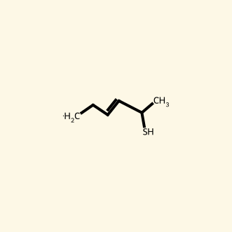 [CH2]CC=CC(C)S